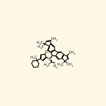 CC1=CC(C)(C)c2cc3c(cc21)-c1cc2c(cc1[CH]3[Zr]([C]1=CC(C3(C)CCCCC3)=CC1C)=[C](C)C)C(C)(C)C=C2C